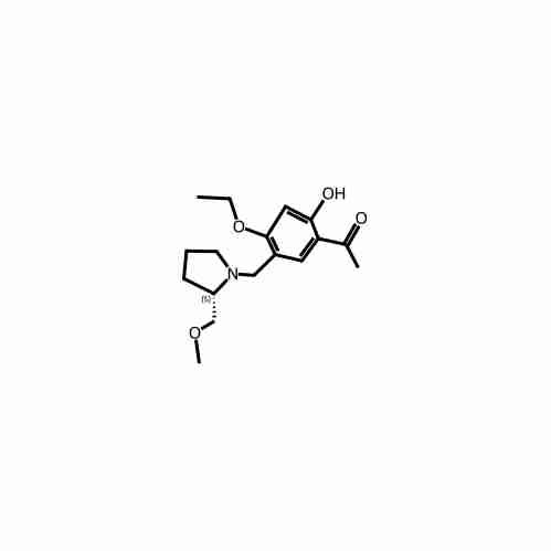 CCOc1cc(O)c(C(C)=O)cc1CN1CCC[C@H]1COC